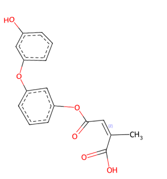 C/C(=C/C(=O)Oc1cccc(Oc2cccc(O)c2)c1)C(=O)O